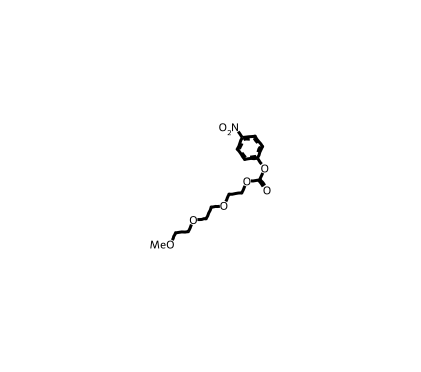 COCCOCCOCCOC(=O)Oc1ccc([N+](=O)[O-])cc1